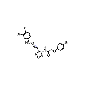 O=C(COc1ccc(Br)cc1)Nc1nonc1/C=N/ONc1ccc(F)c(Br)c1